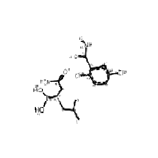 CC(C)C[C@H](CC(N)=O)B(O)O.CNC(=O)c1cc(Cl)ccc1Cl